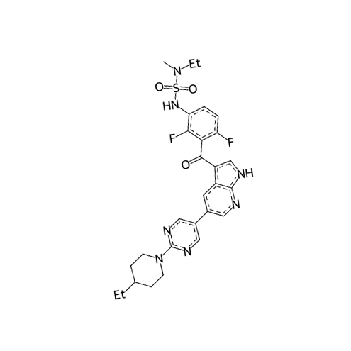 CCC1CCN(c2ncc(-c3cnc4[nH]cc(C(=O)c5c(F)ccc(NS(=O)(=O)N(C)CC)c5F)c4c3)cn2)CC1